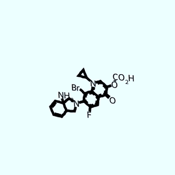 NC12C=CC=CC1CN(c1c(F)cc3c(=O)c(OC(=O)O)cn(C4CC4)c3c1Br)C2